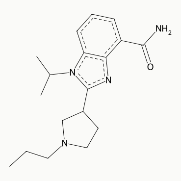 CCCN1CCC(c2nc3c(C(N)=O)cccc3n2C(C)C)C1